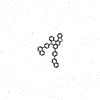 c1cc(-c2ccc(-c3ccc4ccccc4c3)cc2)cc(N(c2ccc(-c3cccc4ccccc34)cc2)c2ccccc2-c2cccc3sc4ccccc4c23)c1